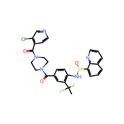 CC(F)(F)c1cc(C(=O)N2CCN(C(=O)c3ccncc3Cl)CC2)ccc1N[S+]([O-])c1cccc2cccnc12